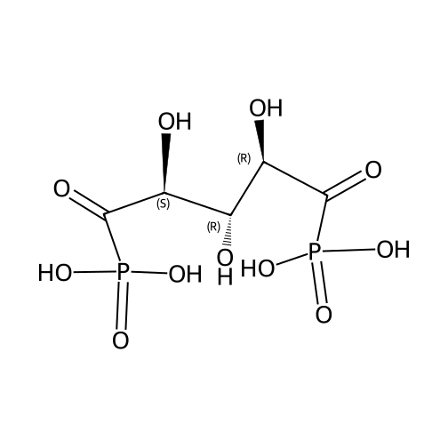 O=C([C@@H](O)[C@@H](O)[C@@H](O)C(=O)P(=O)(O)O)P(=O)(O)O